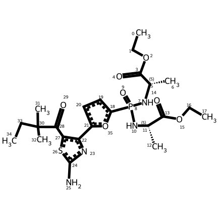 CCOC(=O)[C@H](C)NP(=O)(N[C@@H](C)C(=O)OCC)c1ccc(-c2nc(N)sc2C(=O)C(C)(C)CC)o1